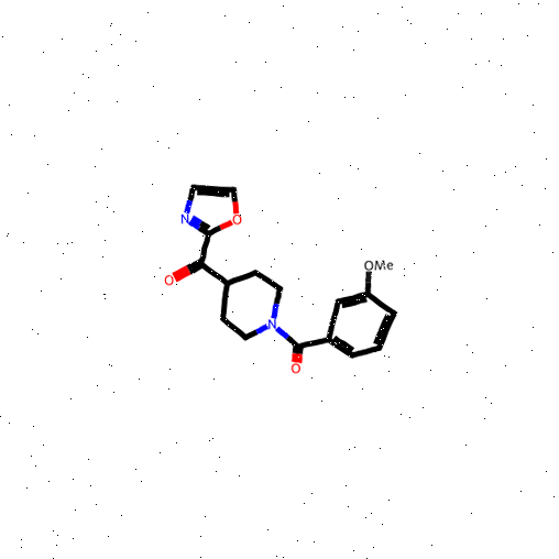 COc1cccc(C(=O)N2CCC(C(=O)c3ncco3)CC2)c1